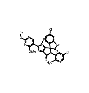 CCOc1ncc(-c2nc3c(n2C(C)C)C2(C(=O)Nc4cc(Cl)ccc42)N(c2cc(Cl)cnc2C)C3=O)c(OC)n1